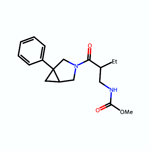 CCC(CNC(=O)OC)C(=O)N1CC2CC2(c2ccccc2)C1